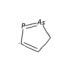 [C]1=CC[As]=P1